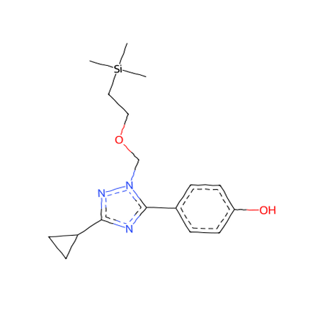 C[Si](C)(C)CCOCn1nc(C2CC2)nc1-c1ccc(O)cc1